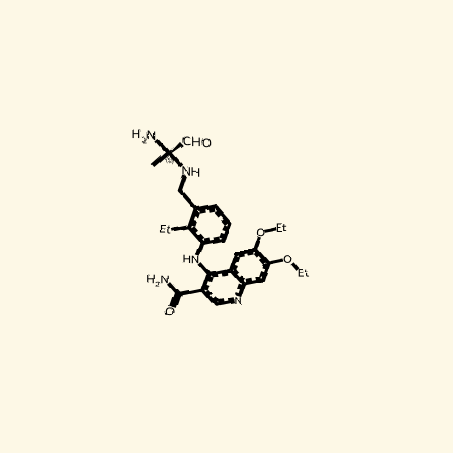 CCOc1cc2ncc(C(N)=O)c(Nc3cccc(CN[C@](C)(N)C=O)c3CC)c2cc1OCC